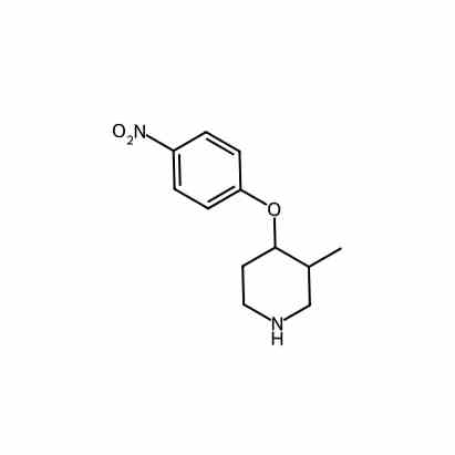 CC1CNCCC1Oc1ccc([N+](=O)[O-])cc1